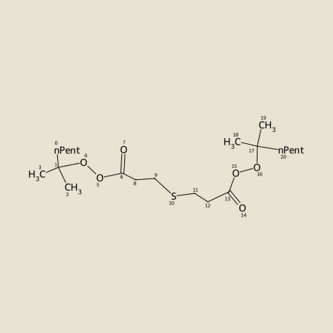 CCCCCC(C)(C)OOC(=O)CCSCCC(=O)OOC(C)(C)CCCCC